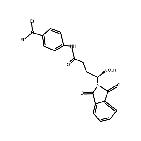 CCN(CC)c1ccc(NC(=O)CC[C@@H](C(=O)O)N2C(=O)c3ccccc3C2=O)cc1